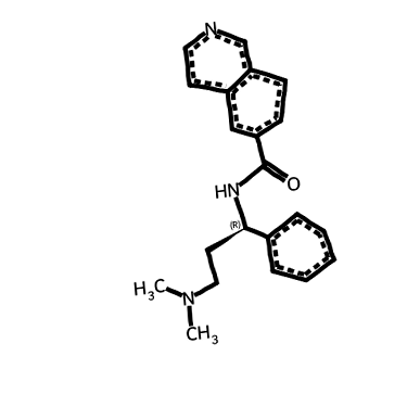 CN(C)CC[C@@H](NC(=O)c1ccc2cnccc2c1)c1ccccc1